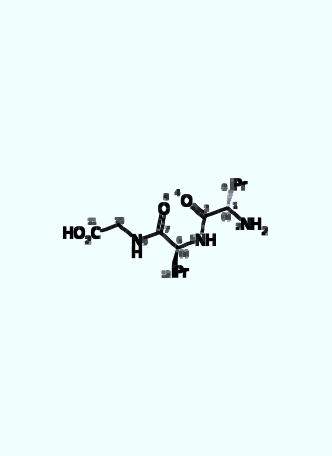 CC(C)[C@H](N)C(=O)N[C@H](C(=O)NCC(=O)O)C(C)C